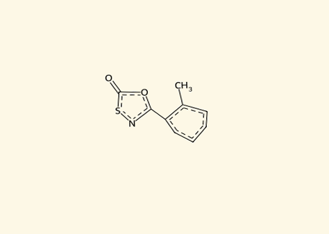 Cc1ccccc1-c1nsc(=O)o1